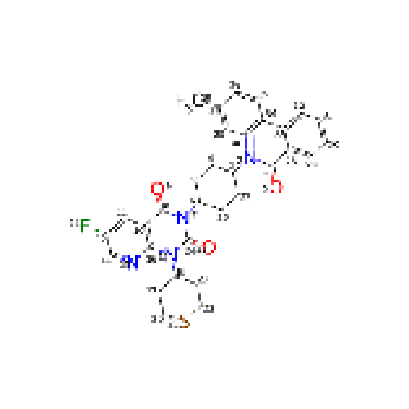 O=C(NC1CCC(n2c(=O)c3cc(F)cnc3n(C3CCSCC3)c2=O)CC1)c1ccccc1-c1ccc(C(F)(F)F)cc1